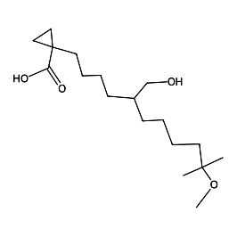 COC(C)(C)CCCCC(CO)CCCCC1(C(=O)O)CC1